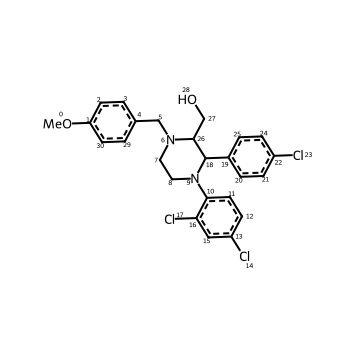 COc1ccc(CN2CCN(c3ccc(Cl)cc3Cl)C(c3ccc(Cl)cc3)C2CO)cc1